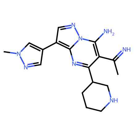 CC(=N)c1c(C2CCCNC2)nc2c(-c3cnn(C)c3)cnn2c1N